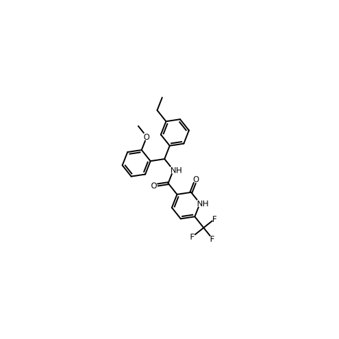 CCc1cccc(C(NC(=O)c2ccc(C(F)(F)F)[nH]c2=O)c2ccccc2OC)c1